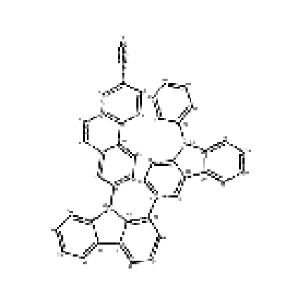 N#Cc1ccc2c(ccc3cc(-n4c5ccccc5c5cccc(-c6ccc7c(c6)c6ccccc6n7-c6ccccc6)c54)ccc32)c1